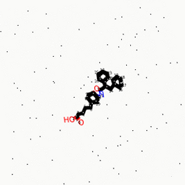 O=C(O)CCCCc1ccc2oc(C(=Cc3ccccc3)c3ccccc3)nc2c1